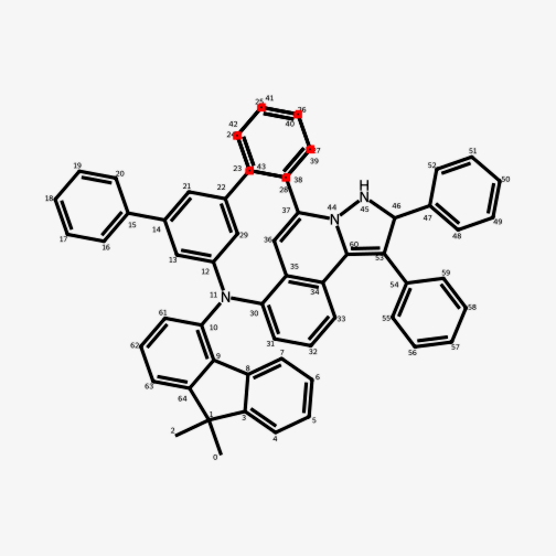 CC1(C)c2ccccc2-c2c(N(c3cc(-c4ccccc4)cc(-c4ccccc4)c3)c3cccc4c3C=C(c3ccccc3)N3NC(c5ccccc5)C(c5ccccc5)=C43)cccc21